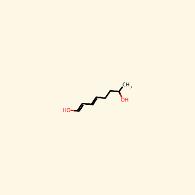 CC(O)CCC=CC=CO